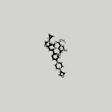 C[C@@H](Oc1nc(-c2ccc(N3CCN(C4COC4)CC3)cn2)cc2ncn(C3CC3)c12)[C@H]1CNC(=O)C1